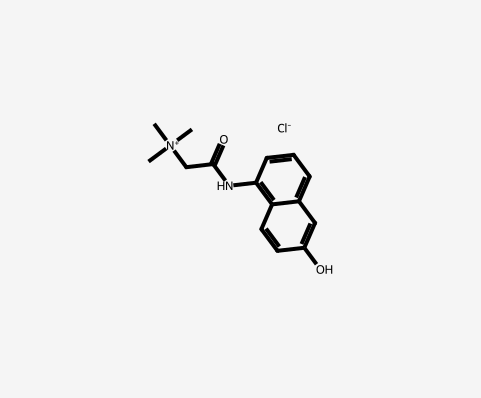 C[N+](C)(C)CC(=O)Nc1cccc2cc(O)ccc12.[Cl-]